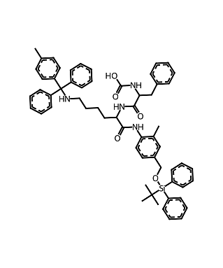 Cc1ccc(C(NCCCCC(NC(=O)C(Cc2ccccc2)NC(=O)O)C(=O)Nc2ccc(CO[Si](c3ccccc3)(c3ccccc3)C(C)(C)C)cc2C)(c2ccccc2)c2ccccc2)cc1